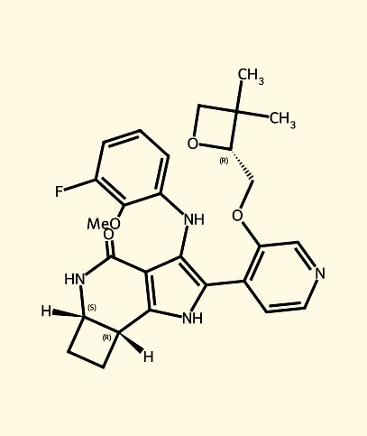 COc1c(F)cccc1Nc1c(-c2ccncc2OC[C@@H]2OCC2(C)C)[nH]c2c1C(=O)N[C@H]1CC[C@@H]21